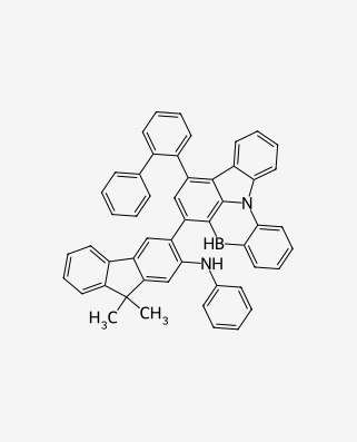 CC1(C)c2ccccc2-c2cc(-c3cc(-c4ccccc4-c4ccccc4)c4c5ccccc5n5c4c3Bc3ccccc3-5)c(Nc3ccccc3)cc21